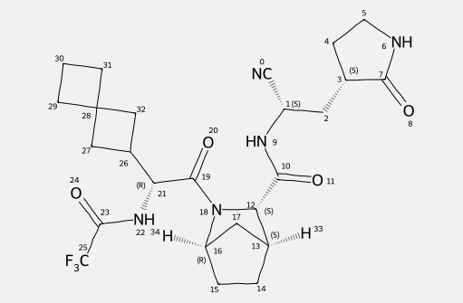 N#C[C@H](C[C@@H]1CCNC1=O)NC(=O)[C@@H]1[C@H]2CC[C@H](C2)N1C(=O)[C@H](NC(=O)C(F)(F)F)C1CC2(CCC2)C1